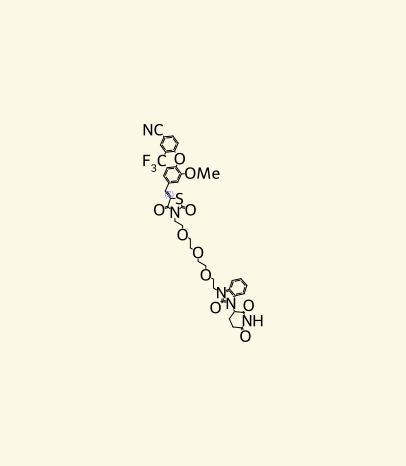 COc1cc(/C=C2\SC(=O)N(CCOCCOCCOCCn3c(=O)n(C4CCC(=O)NC4=O)c4ccccc43)C2=O)ccc1Oc1ccc(C#N)cc1C(F)(F)F